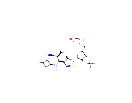 CC1(C)O[C@@H]2[C@@H](O1)[C@H](n1ncc3c(NC4CC(F)C4)c(C#N)c(Cl)nc31)O[C@H]2CS(=O)(=O)CP(=O)(O)O